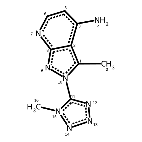 Cc1c2c(N)ccnc2nn1-c1nnnn1C